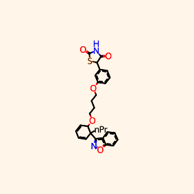 CCCC1(c2noc3ccccc23)C=CC=CC1OCCCCOc1cccc(C2SC(=O)NC2=O)c1